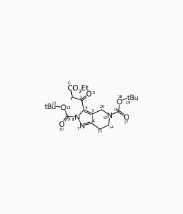 CCOC(=O)CC(=O)c1c2c(nn1C(=O)OC(C)(C)C)CCN(C(=O)OC(C)(C)C)C2